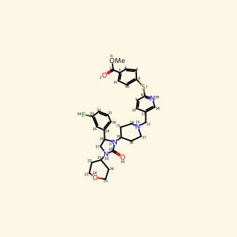 COC(=O)c1ccc(Sc2ccc(CN3CCC(N4C(=O)N(C5CCOCC5)CC4c4cccc(F)c4)CC3)cn2)cc1